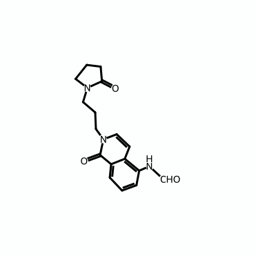 O=CNc1cccc2c(=O)n(CCCN3CCCC3=O)ccc12